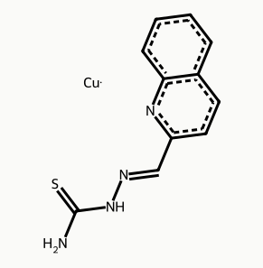 NC(=S)NN=Cc1ccc2ccccc2n1.[Cu]